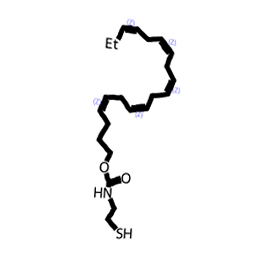 CC/C=C\C/C=C\C/C=C\C/C=C\C/C=C\CCCOC(=O)NCCS